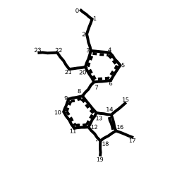 CCCc1cccc(-c2cccc3c2C(C)=C(C)[C]3C)c1CCC